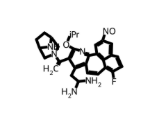 C=C(c1c(OC(C)C)nc2c(c1CC(N)N)C=Cc1c(F)ccc3cc(N=O)cc-2c13)N1CC2CCC(C1)N2